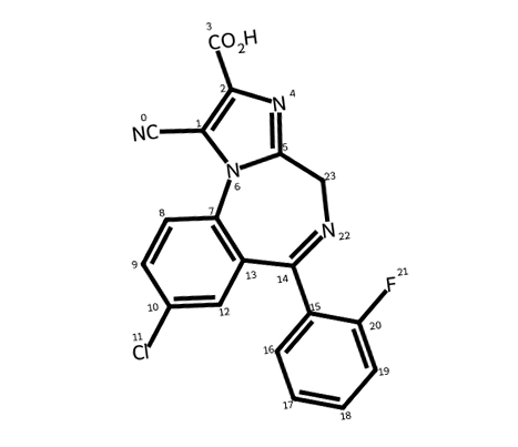 N#Cc1c(C(=O)O)nc2n1-c1ccc(Cl)cc1C(c1ccccc1F)=NC2